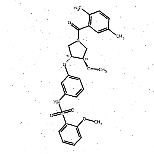 COc1ccccc1S(=O)(=O)Nc1cccc(O[C@@H]2CN(C(=O)c3cc(C)ccc3C)C[C@H]2OC)c1